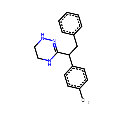 Cc1ccc(C(Cc2ccccc2)C2=NNCCN2)cc1